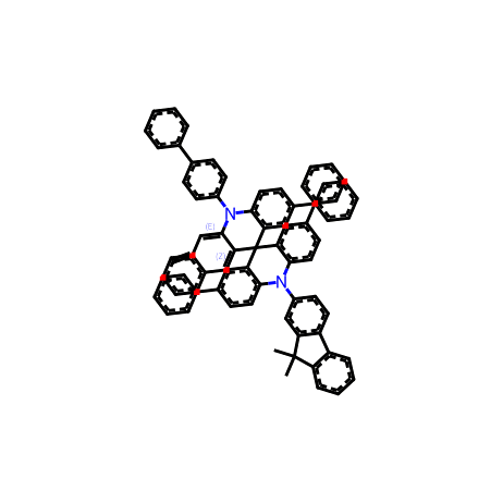 C=C/C=C1\C(=C/c2ccccc2)C2(c3cc(-c4ccccc4)ccc3N1c1ccc(-c3ccccc3)cc1)c1cc(-c3ccccc3)ccc1N(c1ccc3c(c1)C(C)(C)c1ccccc1-3)c1ccc(-c3ccccc3)cc12